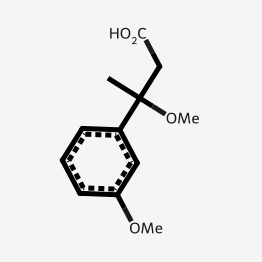 COc1cccc(C(C)(CC(=O)O)OC)c1